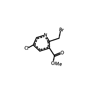 COC(=O)c1cc(Cl)cnc1CBr